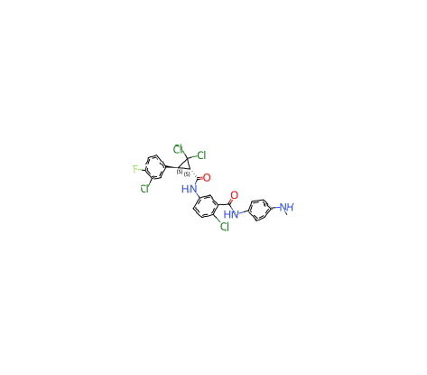 CNc1ccc(NC(=O)c2cc(NC(=O)[C@@H]3[C@@H](c4ccc(F)c(Cl)c4)C3(Cl)Cl)ccc2Cl)cc1